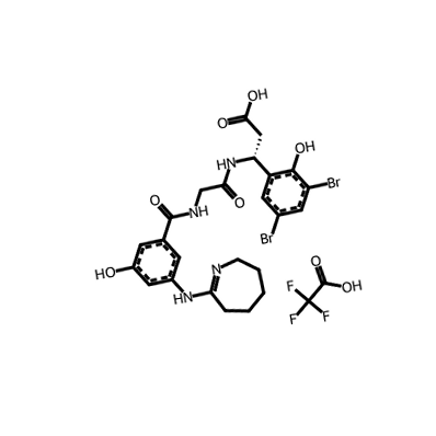 O=C(O)C(F)(F)F.O=C(O)C[C@@H](NC(=O)CNC(=O)c1cc(O)cc(NC2=NCCCCC2)c1)c1cc(Br)cc(Br)c1O